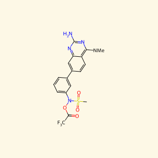 CNc1nc(N)nc2cc(-c3cccc(N(OC(=O)C(F)(F)F)S(C)(=O)=O)c3)ccc12